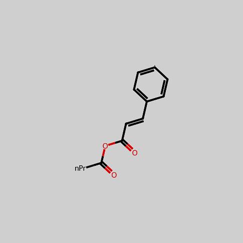 CCCC(=O)OC(=O)/C=C/c1cc[c]cc1